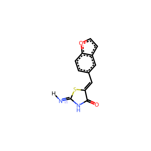 [H]/N=C1/NC(=O)C(=Cc2ccc3occc3c2)S1